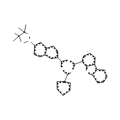 CC1(C)OB(c2ccc3cc(-c4nc(-c5ccccc5)nc(-c5cccc6c5oc5ccccc56)n4)ccc3c2)OC1(C)C